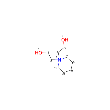 OCC[N+]1(CCO)CCCCC1